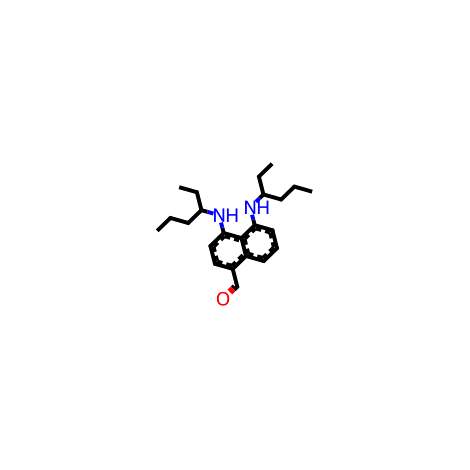 CCCC(CC)Nc1cccc2c(C=O)ccc(NC(CC)CCC)c12